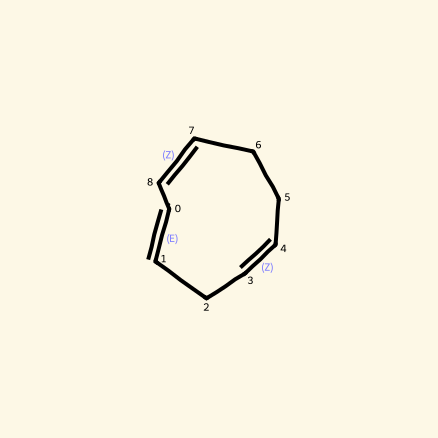 [C]1=C/C/C=C\CC\C=C/1